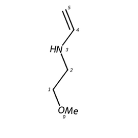 [CH2]OCCNC=C